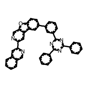 c1ccc(-c2nc(-c3ccccc3)nc(-c3cccc(-c4ccc5oc6cnc(-c7cc8ccccc8cn7)cc6c5c4)c3)n2)cc1